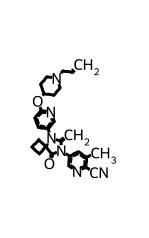 C=CCN1CCC(Oc2ccc(N3C(=C)N(c4cnc(C#N)c(C)c4)C(=O)C34CCC4)cn2)CC1